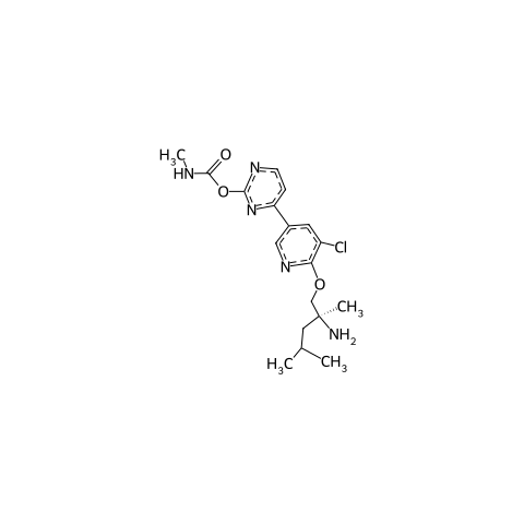 CNC(=O)Oc1nccc(-c2cnc(OC[C@@](C)(N)CC(C)C)c(Cl)c2)n1